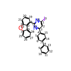 Ic1cc(-c2ccc(-c3ccccc3)cc2)nc(-c2cccc3oc4ccccc4c23)n1